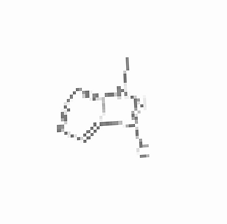 Clc1nn(I)c2ccccc12